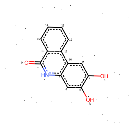 O=c1[nH]c2cc(O)c(O)cc2c2ccccc12